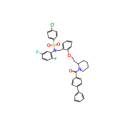 O=C(c1ccc(-c2ccccc2)cc1)N1CCCCC1CCOc1ccccc1CN(c1cc(F)ccc1F)S(=O)(=O)c1ccc(Cl)cc1